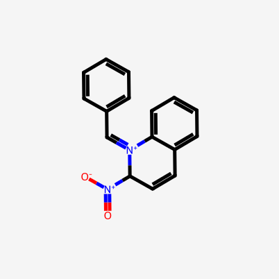 O=[N+]([O-])C1C=Cc2ccccc2[N+]1=Cc1ccccc1